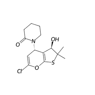 CC1(C)SC2=C([C@H]1O)[C@@H](N1CCCCC1=O)C=C(Cl)O2